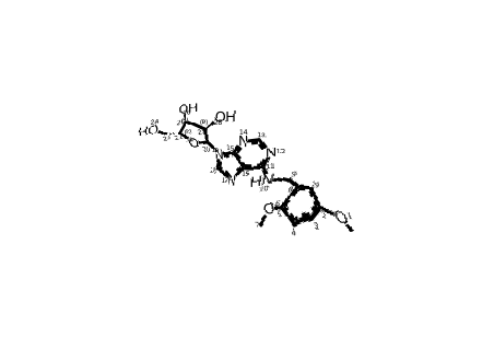 COc1ccc(OC)c(CNc2ncnc3c2ncn3C2O[C@H](CO)[C@@H](O)[C@H]2O)c1